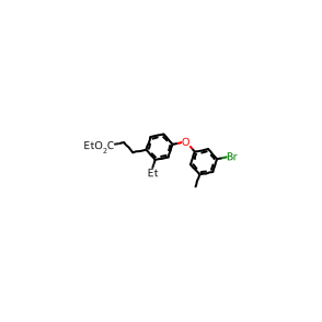 CCOC(=O)CCc1ccc(Oc2cc(C)cc(Br)c2)cc1CC